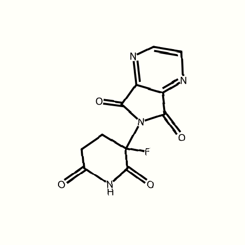 O=C1CCC(F)(N2C(=O)c3nccnc3C2=O)C(=O)N1